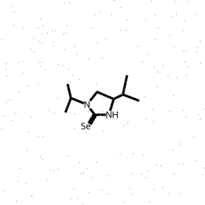 CC(C)C1CN(C(C)C)C(=[Se])N1